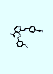 C=C(C)c1ccnc(/C=C/c2ccc(C#N)cc2)c1OCc1cccc(OC)c1